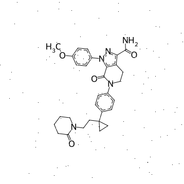 COc1ccc(-n2nc(C(N)=O)c3c2C(=O)N(c2ccc(C4(CCN5CCCCC5=O)CC4)cc2)CC3)cc1